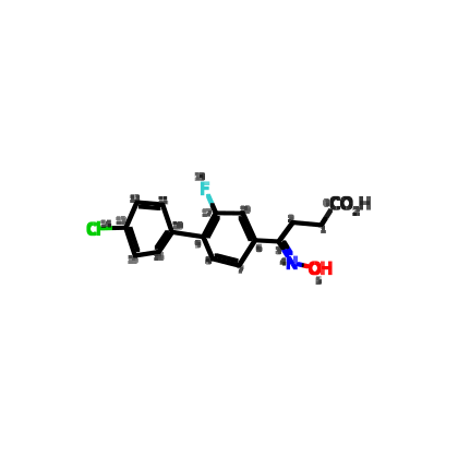 O=C(O)CC/C(=N\O)c1ccc(-c2ccc(Cl)cc2)c(F)c1